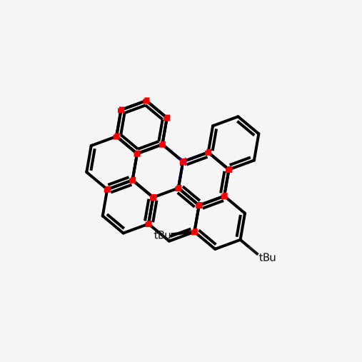 CC(C)(C)c1cc(-c2ccccc2N(c2ccccc2-c2ccccc2)c2ccccc2-c2cccc3cccc(-c4ccccc4)c23)cc(C(C)(C)C)c1